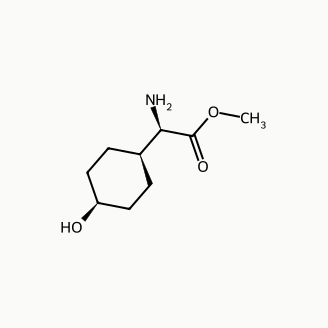 COC(=O)[C@H](N)[C@H]1CC[C@@H](O)CC1